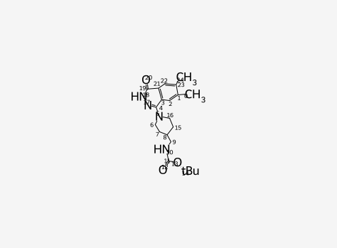 Cc1cc2c(N3CCC(CNC(=O)OC(C)(C)C)CC3)n[nH]c(=O)c2cc1C